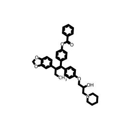 CCC(=C(c1ccc(OCC(O)CN2CCCCC2)cc1)c1ccc(OC(=O)c2ccccc2)cc1)c1ccc2c(c1)OCO2